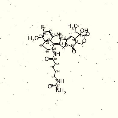 CC[C@@]1(O)C(=O)OCc2c1cc1n(c2=O)Cc2c-1nc1cc(F)c(C)c3c1c2[C@@H](NC(=O)CCCCNC(N)=O)CC3